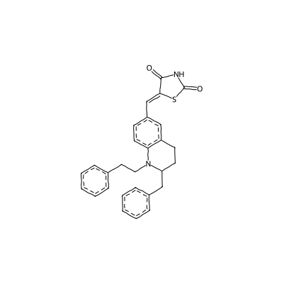 O=C1NC(=O)C(=Cc2ccc3c(c2)CCC(Cc2ccccc2)N3CCc2ccccc2)S1